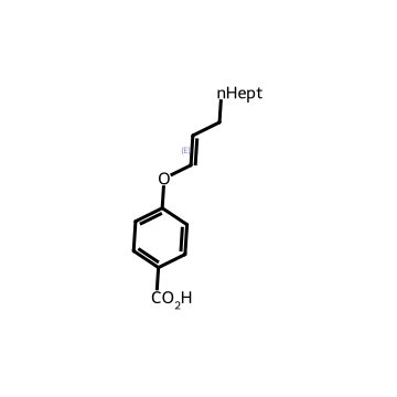 CCCCCCCC/C=C/Oc1ccc(C(=O)O)cc1